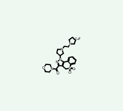 O=C(c1nn(C2CCN(CCN3CC[C@H](F)C3)C2)c2c1CS(=O)(=O)c1ccccc1-2)N1CCOCC1